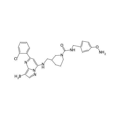 Bc1cnn2c(NCC3CCCN(C(=O)NCc4ccc(ON)cc4)C3)cc(-c3ccccc3Cl)nc12